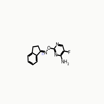 Nc1nc(O/N=C2\CCc3ccccc32)ncc1F